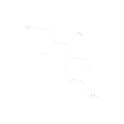 COCC(O)C(C#N)c1ccc(OC)cc1